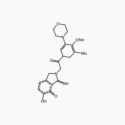 COC1=C(C(C)(C)C)CC(C(=O)CN2Cc3ccc(O)c(=O)n3C2=N)C=C1N1CCOCC1